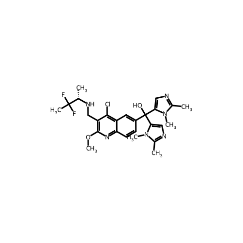 COc1nc2ccc(C(O)(c3cnc(C)n3C)c3cnc(C)n3C)cc2c(Cl)c1CN[C@@H](C)C(C)(F)F